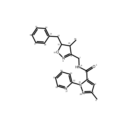 Cc1cc(C(=O)NCC2=NOC(Cc3ccccc3)C2C)n(-c2ccccn2)n1